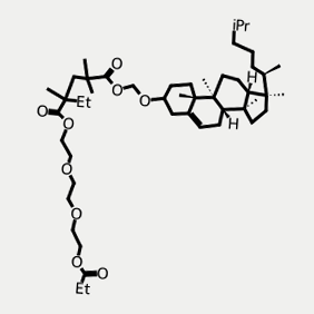 CCC(=O)OCCOCCOCCOC(=O)C(C)(CC)CC(C)(C)C(=O)OCOC1CC[C@@]2(C)C(=CC[C@H]3[C@]4(C)CC[C@](C)([C@H](C)CCCC(C)C)[C@H]4CC[C@@]32C)C1